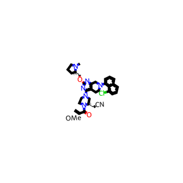 C=C(OC)C(=O)N1CCN(c2nc(OC[C@@H]3CCCN3C)nc3c2CCN(c2cccc4cccc(Cl)c24)C3)C[C@@H]1CC#N